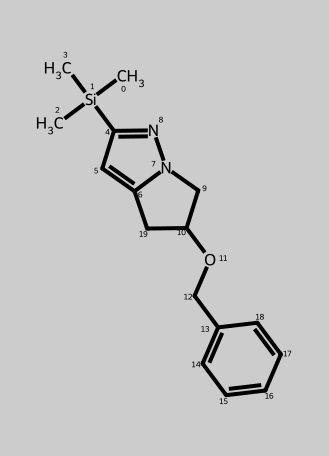 C[Si](C)(C)c1cc2n(n1)CC(OCc1ccccc1)C2